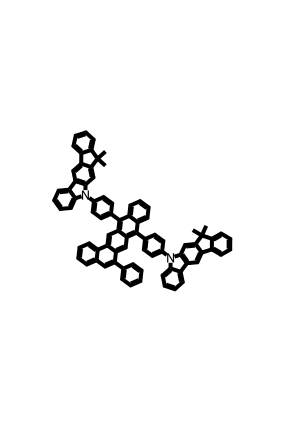 CC1(C)c2ccccc2-c2cc3c4ccccc4n(-c4ccc(-c5c6ccccc6c(-c6ccc(-n7c8ccccc8c8cc9c(cc87)C(C)(C)c7ccccc7-9)cc6)c6cc7c(cc56)c(-c5ccccc5)cc5ccccc57)cc4)c3cc21